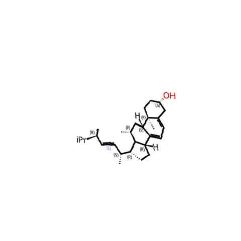 CC(C)[C@@H](C)/C=C/[C@@H](C)[C@H]1CC[C@H]2C3=CC=C4C[C@@H](O)CC[C@]4(C)[C@H]3C[C@@H](C)C21